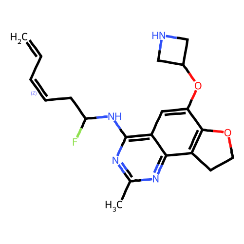 C=C/C=C\CC(F)Nc1nc(C)nc2c3c(c(OC4CNC4)cc12)OCC3